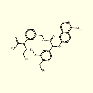 CCOc1cc(C(Nc2ccc3c(N)nccc3c2)C(=O)NCc2cccc(N(CCC(C)C)C(=O)C(F)(F)F)c2)ccc1OC(C)C